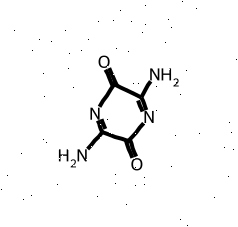 NC1=NC(=O)C(N)=NC1=O